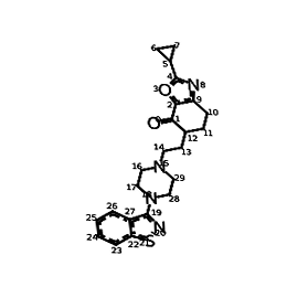 O=C1c2oc(C3CC3)nc2CCC1CCN1CCN(c2nsc3ccccc23)CC1